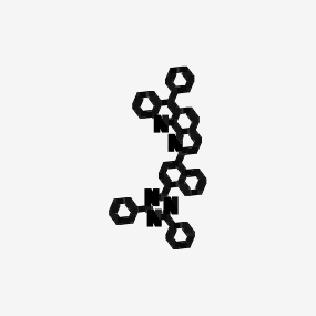 c1ccc(-c2nc(-c3ccccc3)nc(-c3ccc(-c4ccc5ccc6c(-c7ccccc7)c7ccccc7nc6c5n4)c4ccccc34)n2)cc1